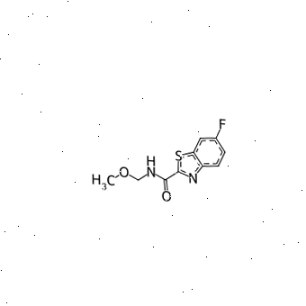 COCNC(=O)c1nc2ccc(F)cc2s1